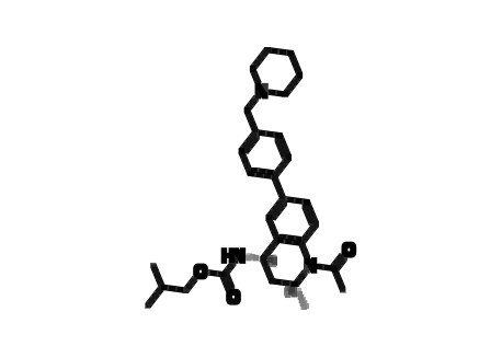 CC(=O)N1c2ccc(-c3ccc(CN4CCCCC4)cc3)cc2[C@@H](NC(=O)OCC(C)C)C[C@H]1C